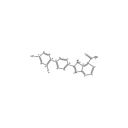 O=C(O)c1cccc2nc(-c3ccc(-c4ccc(F)cc4F)cc3)[nH]c12